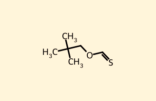 CC(C)(C)COC=S